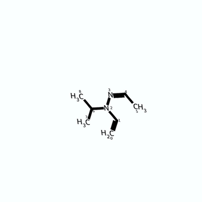 C=CN(/N=C\C)C(C)C